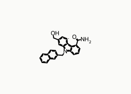 NC(=O)c1cccc2c1c1[c]cc(CO)cc1n2Cc1ccc2ccccc2c1